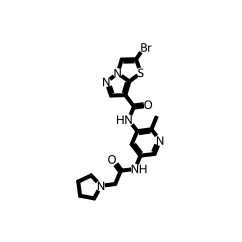 Cc1ncc(NC(=O)CN2CCCC2)cc1NC(=O)c1cnn2cc(Br)sc12